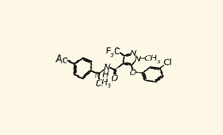 CC(=O)c1ccc([C@H](C)NC(=O)c2c(C(F)(F)F)nn(C)c2Oc2cccc(Cl)c2)cc1